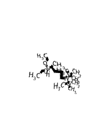 CCO[SiH](OCC)C(C)CCCN([Si](C)(C)C)[Si](C)(C)C